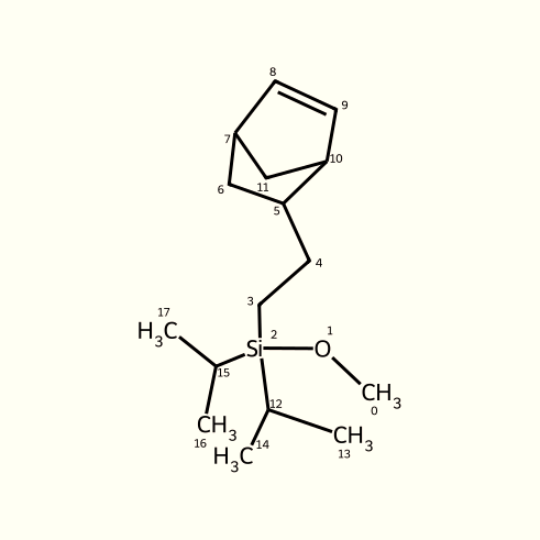 CO[Si](CCC1CC2C=CC1C2)(C(C)C)C(C)C